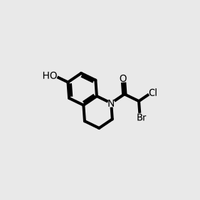 O=C(C(Cl)Br)N1CCCc2cc(O)ccc21